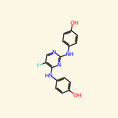 Oc1ccc(Nc2ncc(F)c(Nc3ccc(O)cc3)n2)cc1